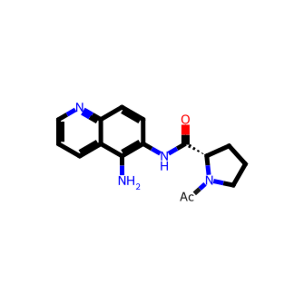 CC(=O)N1CCC[C@H]1C(=O)Nc1ccc2ncccc2c1N